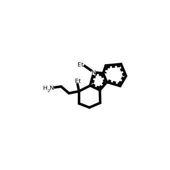 CCn1c2c(c3ccccc31)CCCC2(CC)CCN